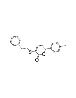 Cc1ccc(C2CC=C(SCCc3ccccc3)C(=O)O2)cc1